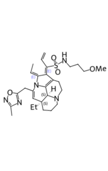 C=C/C(=c1/c2c3n(/c1=C/C)C(Cc1nc(C)no1)=C[C@]1(CC)CCCN(CC2)[C@H]31)S(=O)(=O)NCCCOC